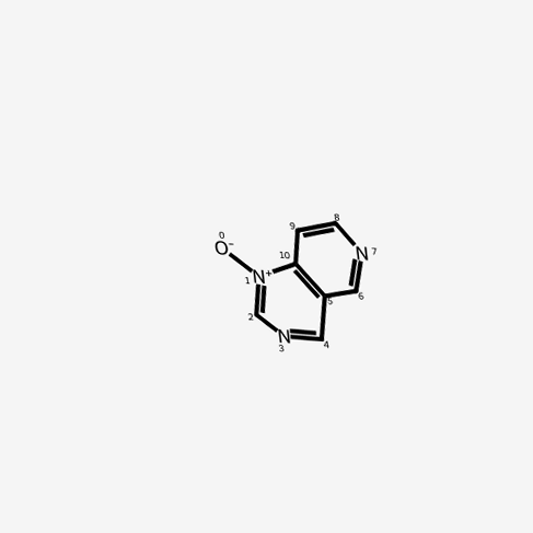 [O-][n+]1cncc2cnccc21